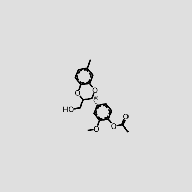 COc1cc([C@H]2Oc3cc(C)ccc3OC2CO)ccc1OC(C)=O